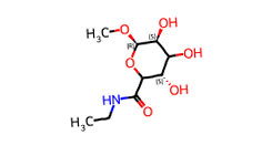 CCNC(=O)C1O[C@@H](OC)[C@@H](O)C(O)[C@@H]1O